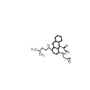 CN(C)CCNc1ccc(NCC2CO2)c2c(C(=O)C=O)c3ccccc3cc12